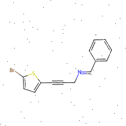 Brc1ccc(C#CCN=Cc2ccccc2)s1